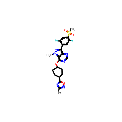 CC(C)c1noc(C2CCC(Oc3ncnc4c(-c5cc(F)c(S(C)(=O)=O)cc5F)nn(C)c34)CC2)n1